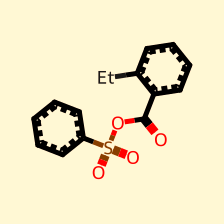 CCc1ccccc1C(=O)OS(=O)(=O)c1ccccc1